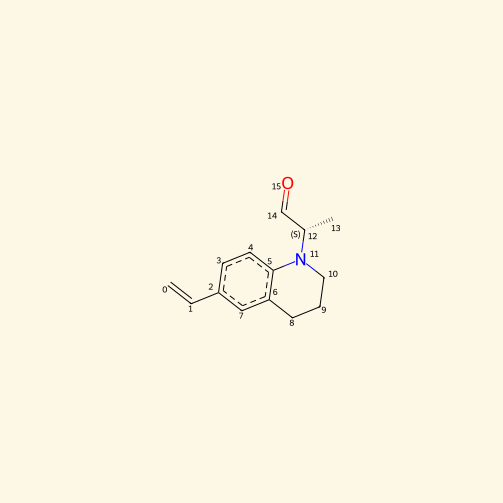 C=Cc1ccc2c(c1)CCCN2[C@@H](C)C=O